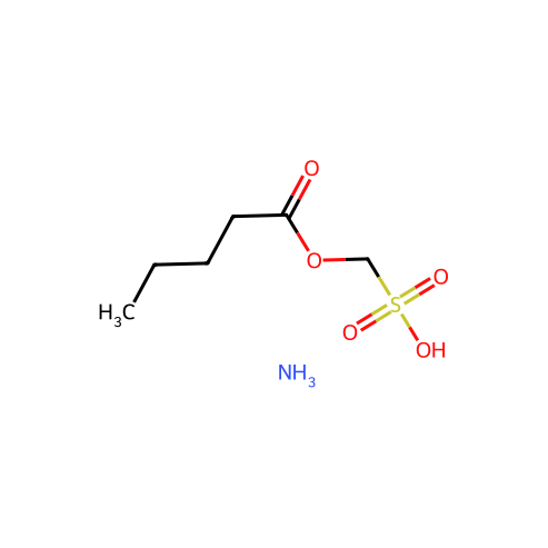 CCCCC(=O)OCS(=O)(=O)O.N